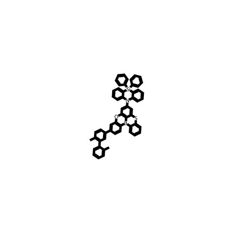 Cc1ccccc1-c1cc(-c2ccc3c(c2)Oc2cc(N4c5ccccc5[Si](c5ccccc5)(c5ccccc5)c5ccccc54)cc4c2B3c2ccccc2S4)ccc1C